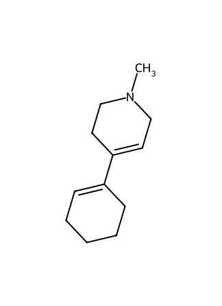 CN1CC=C(C2=CCCCC2)CC1